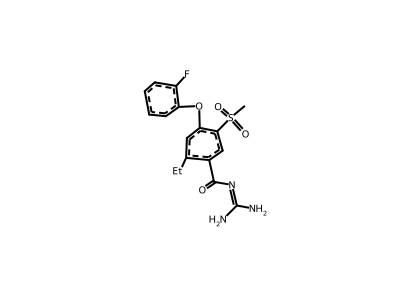 CCc1cc(Oc2ccccc2F)c(S(C)(=O)=O)cc1C(=O)N=C(N)N